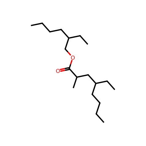 CCCCC(CC)COC(=O)C(C)CC(CC)CCCC